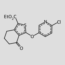 CCOC(=O)c1sc(Oc2ccc(Cl)nc2)c2c1CCCC2=O